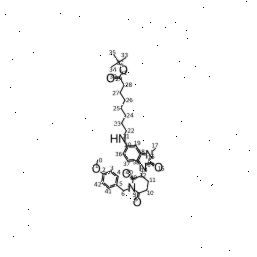 COc1ccc(CN2C(=O)CCC(n3c(=O)n(C)c4cc(NCCCCCCCC(=O)OC(C)(C)C)ccc43)C2=O)cc1